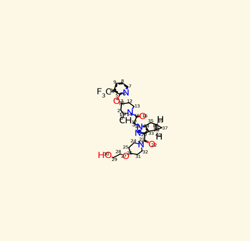 C[C@H]1C[C@H](Oc2ncccc2C(F)(F)F)CCN1C(=O)Cn1nc(C(=O)N2CCC(OCCO)CC2)c2c1C[C@H]1C[C@@H]21